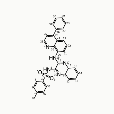 Cc1ccc(S(=O)(=O)NC2=NC3C=CC=CC3N=C2Nc2cccc3c(-c4ccccc4)ccnc23)cc1